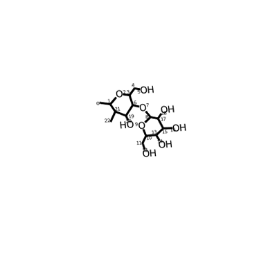 CC1OC(CO)C(OC2OC(CO)C(O)C(O)C2O)C(O)C1C